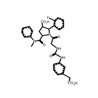 CN(C(=O)C1CC(C(=O)O)C(c2ccccc2F)N1C(=O)CNC(=O)Nc1cccc(CC(=O)O)c1)c1ccccc1